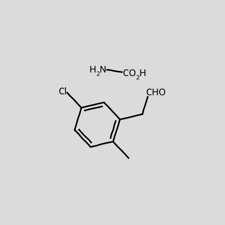 Cc1ccc(Cl)cc1CC=O.NC(=O)O